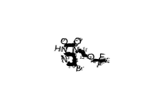 O=c1[nH]c2ncc(Br)cc2n(CCOCC(F)(F)F)c1=O